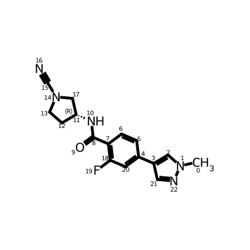 Cn1cc(-c2ccc(C(=O)N[C@@H]3CCN(C#N)C3)c(F)c2)cn1